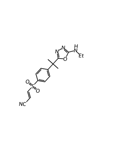 CCNc1nnc(C(C)(C)c2ccc(S(=O)(=O)/C=C/C#N)cc2)o1